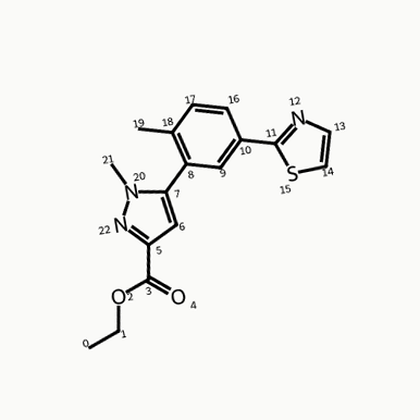 CCOC(=O)c1cc(-c2cc(-c3nccs3)ccc2C)n(C)n1